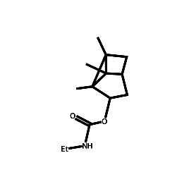 CCNC(=O)OC1CC2CC3(C)C2(C)C13C